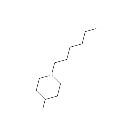 CCC1CCN(CCCCCC(C)(C)C)CC1